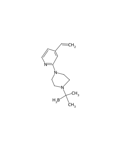 BC(C)(C)N1CCN(c2cc(C=C)ccn2)CC1